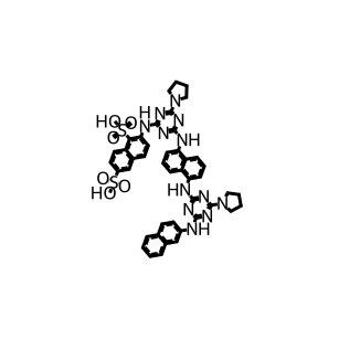 O=S(=O)(O)c1ccc2c(S(=O)(=O)O)c(Nc3nc(Nc4cccc5c(Nc6nc(Nc7ccc8ccccc8c7)nc(N7CCCC7)n6)cccc45)nc(N4CCCC4)n3)ccc2c1